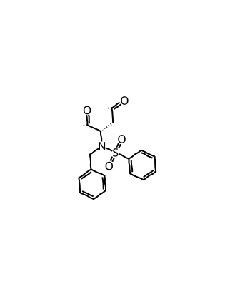 O=[C]C[C@@H]([C]=O)N(Cc1ccccc1)S(=O)(=O)c1ccccc1